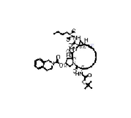 CCCCS(=O)(=O)NC(=O)[C@@]12C[C@H]1/C=C\CCCCC[C@H](NC(=O)OC(C)(C)C)C(=O)N1C[C@H](OC(=O)N3CCc4ccccc4C3)C[C@H]1C(=O)N2